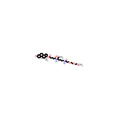 COCCOCCOCCC(=O)NCCCCC(NC(=O)CCCC(=O)OC1CCC2C3CCC4=CC(=O)CCC4(C)C3CCC12C)C(C)=O